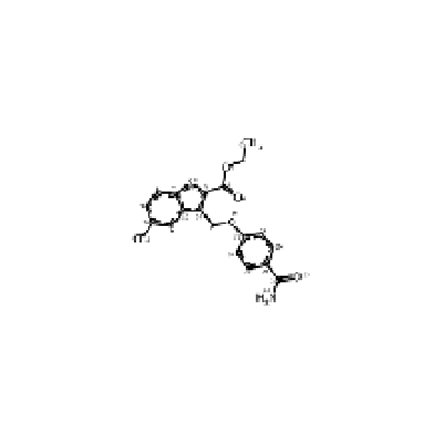 CCOC(=O)c1sc2ccc(Cl)cc2c1COc1ccc(C(N)=O)cc1